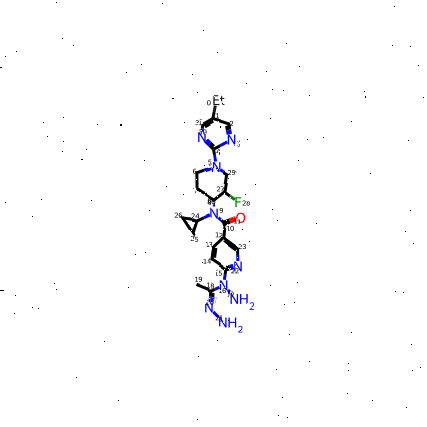 CCc1cnc(N2CC[C@@H](N(C(=O)c3ccc(N(N)/C(C)=N\N)nc3)C3CC3)C(F)C2)nc1